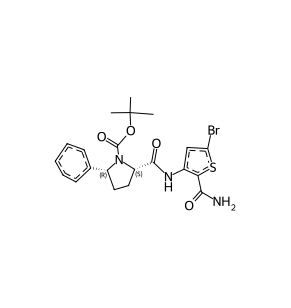 CC(C)(C)OC(=O)N1[C@@H](c2ccccc2)CC[C@H]1C(=O)Nc1cc(Br)sc1C(N)=O